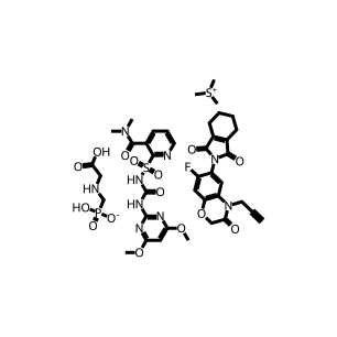 C#CCN1C(=O)COc2cc(F)c(N3C(=O)C4=C(CCCC4)C3=O)cc21.COc1cc(OC)nc(NC(=O)NS(=O)(=O)c2ncccc2C(=O)N(C)C)n1.C[S+](C)C.O=C(O)CNCP(=O)([O-])O